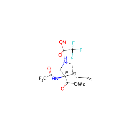 C=CC[C@H]1CNC[C@@]1(NC(=O)C(F)(F)F)C(=O)OC.O=C(O)C(F)(F)F